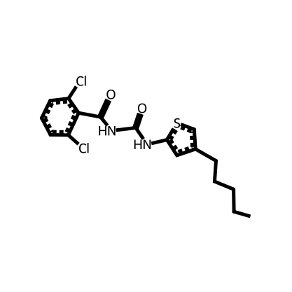 CCCCCc1csc(NC(=O)NC(=O)c2c(Cl)cccc2Cl)c1